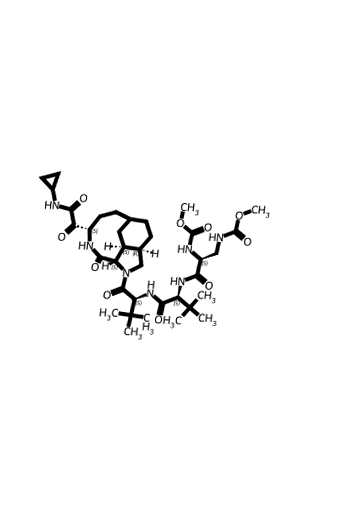 COC(=O)NC[C@H](NC(=O)OC)C(=O)N[C@H](C(=O)N[C@H](C(=O)N1C[C@@H]2CCC3CC[C@@H](C(=O)C(=O)NC4CC4)NC(=O)[C@@H]1[C@H]2C3)C(C)(C)C)C(C)(C)C